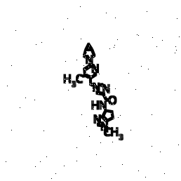 Cc1cc(N2CC3CC3C2)ncc1Cn1cnc(C(=O)N[C@@H]2CCc3c2ncn3C)c1